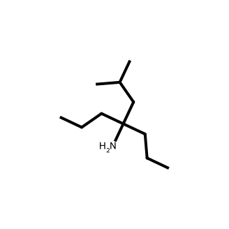 CCCC(N)(CCC)CC(C)C